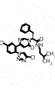 CC(C)CCNC(=O)[C@H](Cc1ccccc1)n1cnc(-c2cc(Cl)ccc2-n2cc(Cl)nn2)cc1=O